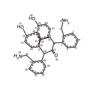 NCc1ccccc1C(Cc1cccc(O)c1)C(=O)C(Cc1cccc(O)c1)c1ccccc1CN